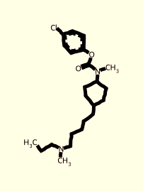 CCCN(C)CCCCCC1CCC(N(C)C(=O)Oc2ccc(Cl)cc2)CC1